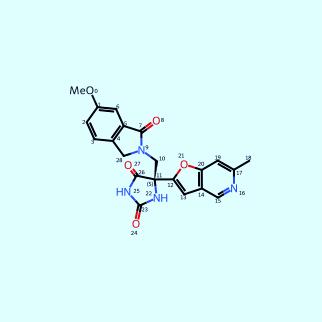 COc1ccc2c(c1)C(=O)N(C[C@@]1(c3cc4cnc(C)cc4o3)NC(=O)NC1=O)C2